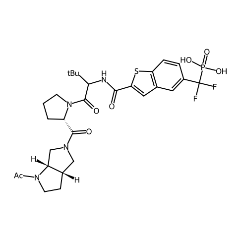 CC(=O)N1CC[C@H]2CN(C(=O)[C@@H]3CCCN3C(=O)C(NC(=O)c3cc4cc(C(F)(F)P(=O)(O)O)ccc4s3)C(C)(C)C)C[C@H]21